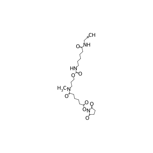 C#CCNC(=O)CCCCCNC(=O)OCCCN(C)C(=O)CCCCC(=O)ON1C(=O)CCC1=O